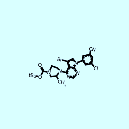 CC1CN(C(=O)OC(C)(C)C)CCN1c1ncnc2c1c(Br)cn2-c1cc(Cl)cc(C#N)c1